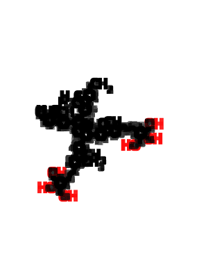 C=Cc1ccc2c(c1)C(C)(C)c1cc(-c3cc(-c4ccc5c(c4)C(C)(C)c4cc(C=C)ccc4-5)c4ccc5c(-c6ccc7c(c6)C(C)(C)c6cc(CCCc8cc(CO)c(O)c(CO)c8)ccc6-7)cc(-c6ccc7c(c6)C(C)(C)c6cc(CCCc8cc(CO)c(O)c(CO)c8)ccc6-7)c6ccc3c4c65)ccc1-2